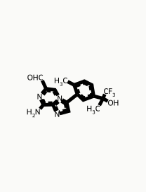 Cc1ccc(C(C)(O)C(F)(F)F)cc1-c1cnc2c(N)nc(C=O)cn12